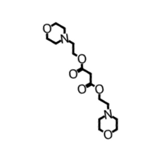 O=C(CC(=O)OCCN1CCOCC1)OCCN1CCOCC1